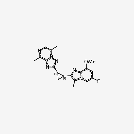 COc1cc(F)cn2c(C)c([C@@H]3C[C@H]3c3nc4c(C)ncc(C)n4n3)nc12